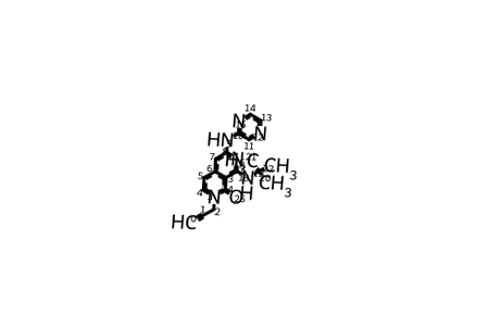 C#CCn1ccc2cc(Nc3cnccn3)nc(NC(C)(C)C)c2c1=O